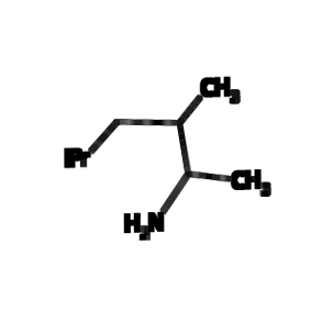 CC(C)CC(C)C(C)N